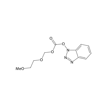 COCCOCOC(=O)On1nnc2ccccc21